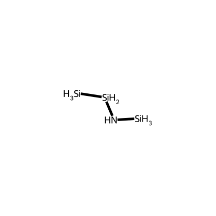 [SiH3]N[SiH2][SiH3]